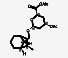 COC(=O)[C@@H]1C[C@H](OC(C)=O)C[C@H](OC[C@@]2(O)C3CCC[C@@H]2[C@H](C)C3)O1